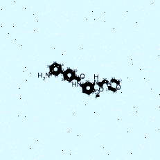 COc1ccc(NC(=O)c2ccc(-c3cccc(N)c3)cc2)cc1NC(=O)CN1CCOCC1